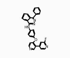 Fc1cc(-c2cnccc2Oc2ccc(Nc3nnc(-c4ccccc4)c4ccccc34)cc2)ccn1